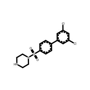 O=S(=O)(c1ccc(-c2cc(Cl)cc(Cl)c2)cc1)N1CCNCC1